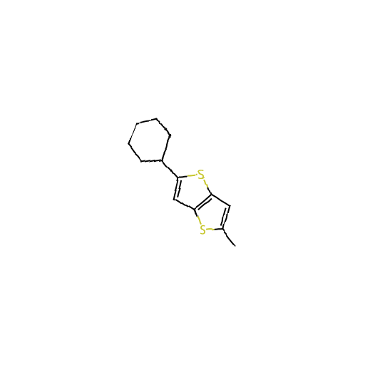 Cc1cc2sc(C3CCCCC3)cc2s1